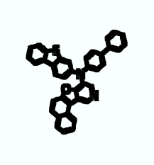 c1ccc(-c2ccc(N(c3ccc4c(c3)sc3ccccc34)c3cncc4c3oc3ccc5ccccc5c34)cc2)cc1